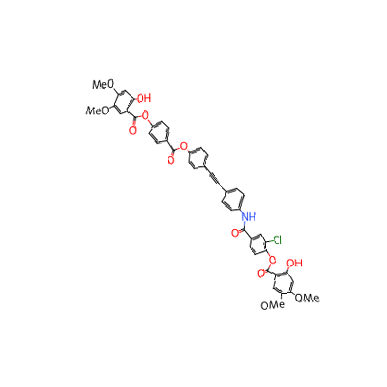 COc1cc(O)c(C(=O)Oc2ccc(C(=O)Oc3ccc(C#Cc4ccc(NC(=O)c5ccc(OC(=O)c6cc(OC)c(OC)cc6O)c(Cl)c5)cc4)cc3)cc2)cc1OC